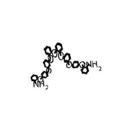 Nc1ccccc1Oc1ccc(Oc2cccc(Oc3ccccc3Oc3ccccc3Oc3cccc(Oc4ccc(Oc5ccccc5N)cc4)c3)c2)cc1